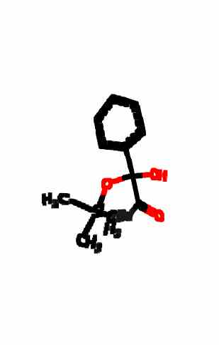 CC(C)(C)C(=O)C(O)(O[Si](C)(C)C)c1ccccc1